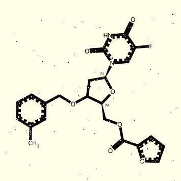 Cc1cccc(COC2C[C@@H](n3cc(F)c(=O)[nH]c3=O)O[C@H]2COC(=O)c2ccco2)c1